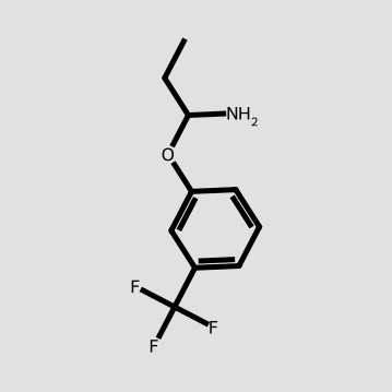 CCC(N)Oc1cccc(C(F)(F)F)c1